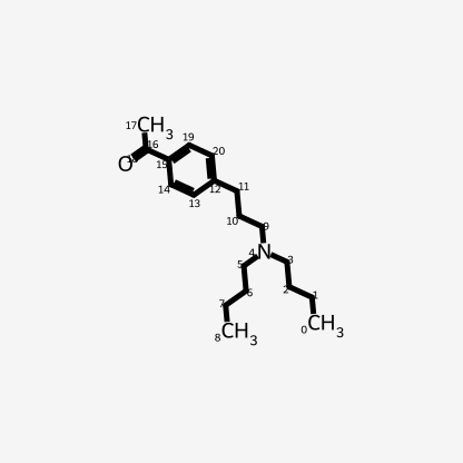 CCCCN(CCCC)CCCc1ccc(C(C)=O)cc1